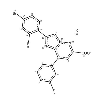 O=C([O-])c1cc(-c2cccc(F)c2)c2nc(-c3ccc(Br)cc3F)cn2n1.[K+]